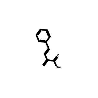 C=C(C=Cc1ccccc1)C(=O)OC(C)=O